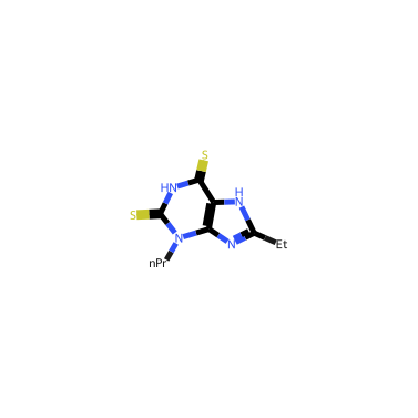 CCCn1c(=S)[nH]c(=S)c2[nH]c(CC)nc21